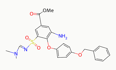 COC(=O)c1cc(N)c(Oc2ccc(OCc3ccccc3)cc2)c(S(=O)(=O)N=CN(C)C)c1